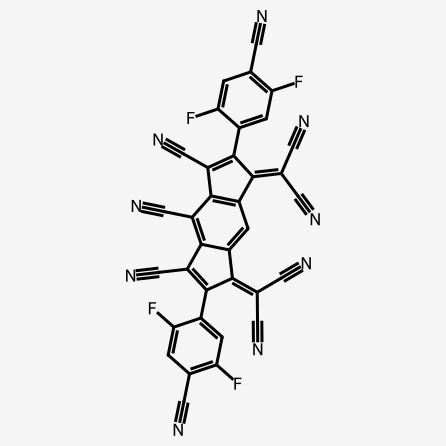 N#CC(C#N)=C1C(c2cc(F)c(C#N)cc2F)=C(C#N)c2c1cc1c(c2C#N)C(C#N)=C(c2cc(F)c(C#N)cc2F)C1=C(C#N)C#N